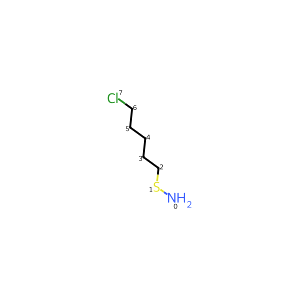 NSCCCCCCl